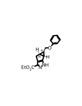 CCOC(=O)c1n[nH]c2c1C[C@H]1[C@@H](COc3ccccc3)[C@@H]21